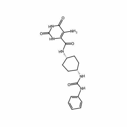 Nc1c(C(=O)N[C@H]2CC[C@@H](NC(=O)Nc3ccccc3)CC2)[nH]c(=O)[nH]c1=O